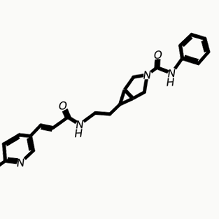 Nc1ccc(/C=C/C(=O)NCCC2C3CN(C(=O)Nc4ccccc4)CC23)cn1